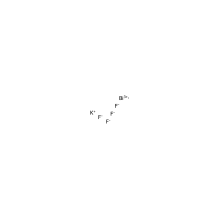 [Bi+3].[F-].[F-].[F-].[F-].[K+]